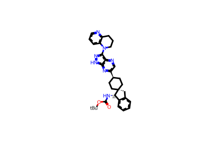 CC(C)(C)OC(=O)N[C@H]1c2ccccc2C[C@]12CC[C@H](c1cnc3c(N4CCCc5ncccc54)n[nH]c3n1)CC2